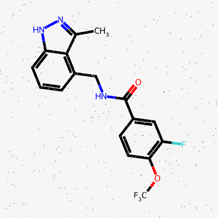 Cc1n[nH]c2cccc(CNC(=O)c3ccc(OC(F)(F)F)c(F)c3)c12